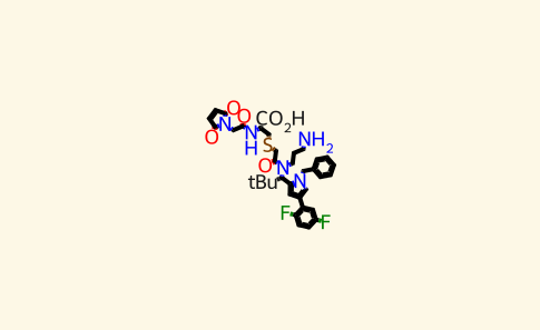 CC(C)(C)C(c1cc(-c2cc(F)ccc2F)cn1Cc1ccccc1)N(CCCN)C(=O)CSCC(NC(=O)CN1C(=O)C=CC1=O)C(=O)O